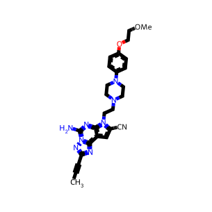 CC#Cc1nc2c3cc(C#N)n(CCN4CCN(c5ccc(OCCOC)cc5)CC4)c3nc(N)n2n1